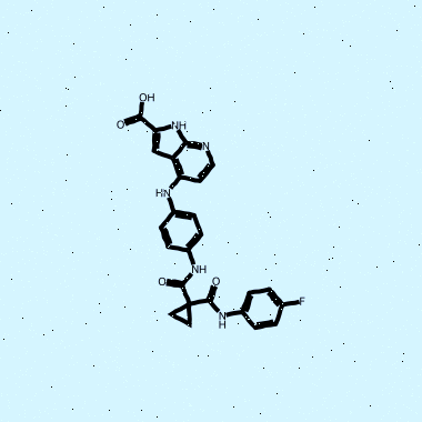 O=C(O)c1cc2c(Nc3ccc(NC(=O)C4(C(=O)Nc5ccc(F)cc5)CC4)cc3)ccnc2[nH]1